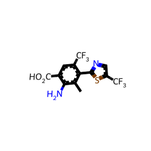 Cc1c(N)c(C(=O)O)cc(C(F)(F)F)c1-c1ncc(C(F)(F)F)s1